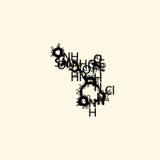 CSc1ccccc1NC(=O)N1CCC(C(=O)Nc2ccc3cc2CCc2cccc(c2)Nc2ncc(Cl)c(n2)N3)CC1.O=C(O)C(F)(F)F